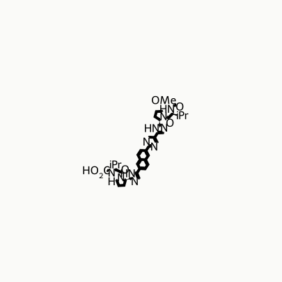 COC(=O)N[C@H](C(=O)N1CCC[C@H]1c1ncc(-c2cnc(-c3ccc4cc(-c5cnc([C@@H]6CCCN6C(=O)[C@@H](NC(=O)O)C(C)C)[nH]5)ccc4c3)nc2)[nH]1)C(C)C